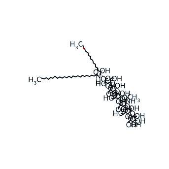 CCCCCCCCCCCCC/C=C/[C@@H](O)[C@H](CO[C@@H]1OC(CO)[C@@H](O[C@@H]2OC(CO)[C@H](O)[C@H](O[C@H]3OC(CO)[C@H](O)[C@H](O[C@@H]4OC(CO)[C@H](O)[C@H](O[C@@H]5OC(CO)[C@H](O)[C@H](O[C@H]6OC(CO)[C@H](O)[C@H](O)C6O)C5O)C4NC(C)=O)C3O)C2O)[C@H](O)C1O)NC(=O)CCCCCCCCCCCCCCCCCCCCCCCCC